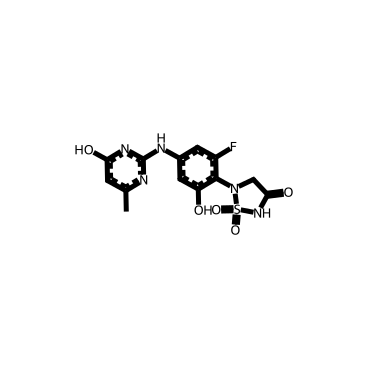 Cc1cc(O)nc(Nc2cc(O)c(N3CC(=O)NS3(=O)=O)c(F)c2)n1